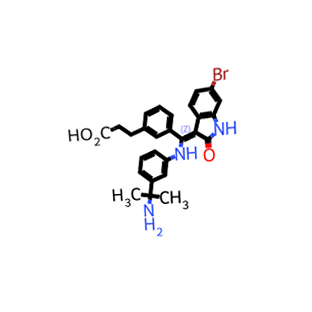 CC(C)(N)c1cccc(N/C(=C2\C(=O)Nc3cc(Br)ccc32)c2cccc(CCC(=O)O)c2)c1